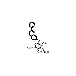 CC(=O)OC[C@@H]1O[C@H](Oc2ccc(/C=C\C(=O)c3ccccc3)cc2)[C@H](OC(C)=O)[C@H](CC(=O)O)[C@@H]1OC(C)=O